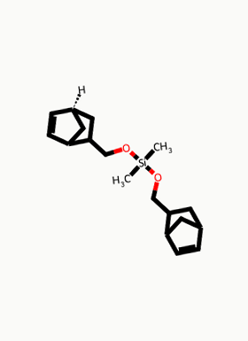 C[Si](C)(OCC1CC2C=CC1C2)OCC1C[C@@H]2C=CC1C2